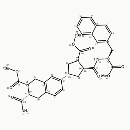 COC(=O)[C@H](Cc1ccc2ccccc2c1)NC(=O)[C@H]1C[C@H](c2ccc3c(c2)CN(C(=O)OC(C)(C)C)[C@@H](C(N)=O)C3)CN1C(=O)OC(C)(C)C